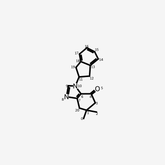 CC1(C)CC(=O)c2c(ncn2C2Cc3ccccc3C2)C1